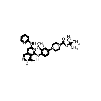 COc1cc(N2CCN(C(=O)OC(C)(C)C)CC2)ccc1Nc1nc(Nc2ccccn2)cc2cn[nH]c(=O)c12